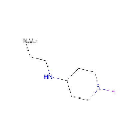 CNCCNC1CCN(I)CC1